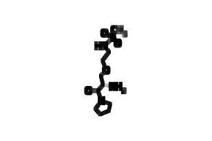 CS(=O)(=O)NCCOC[C@H](N)C(=O)N1CCCC1